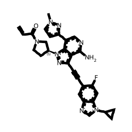 C=CC(=O)N1CC[C@H](n2nc(C#Cc3cc4ncn(C5CC5)c4cc3F)c3c(N)ncc(-c4ccn(C)n4)c32)C1